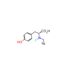 [2H]CN(F)[C@@H](Cc1ccc(O)cc1)C(=O)O